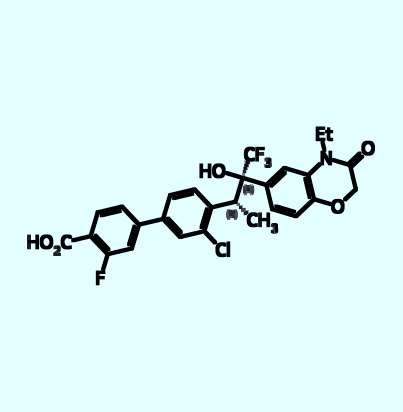 CCN1C(=O)COc2ccc([C@](O)([C@H](C)c3ccc(-c4ccc(C(=O)O)c(F)c4)cc3Cl)C(F)(F)F)cc21